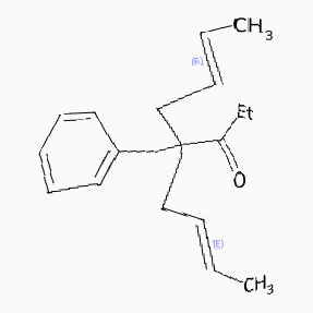 C/C=C/CC(C/C=C/C)(C(=O)CC)c1ccccc1